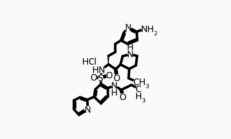 CCC(=O)Nc1ccc(-c2ccccn2)cc1S(=O)(=O)N[C@@H](CCCc1ccc(N)nc1)C(=O)C1CNCCC1CC.Cl